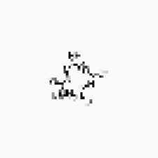 NC(=O)N=NC(N)=O.O=C([O-])N=NC(=O)[O-].[Ba+2]